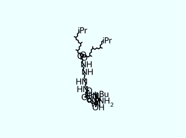 CCCCNc1nc(N)c2nc(O)n(Cc3ccc(C(=O)NCC(=O)NCCCNCCCCNCCCNCCCP(=O)(OCCC(C)CCCC(C)CCCC(C)CCCC(C)C)OCCC(C)CCCC(C)CCCC(C)CCCC(C)C)cc3)c2n1